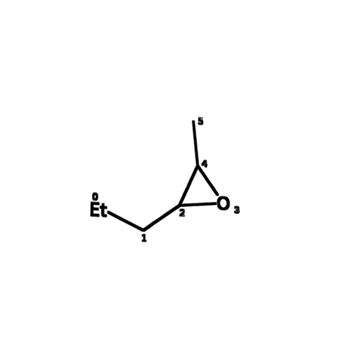 CCCC1OC1C